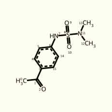 CC(=O)c1ccc(NS(=O)(=O)N(C)C)cc1